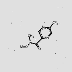 CON(C)C(=O)c1cnc(C(F)(F)F)cn1